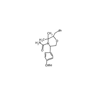 COc1ccc(C2COC(CC(C)C)C(C)(C)N2C(N)=O)cc1